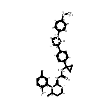 Cc1ccc(C(C)C)c(N2/C(=N/C(=O)NC3(c4ccc(-c5ncn(-c6ccc(OC(F)(F)F)cc6)n5)cc4)CC3)SCCC2C)c1